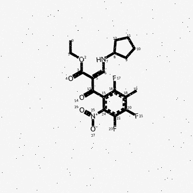 CCOC(=O)C(=CNC1CCCC1)C(=O)c1c(F)c(C)c(F)c(F)c1[N+](=O)[O-]